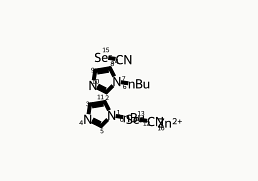 CCCCn1ccnc1.CCCCn1ccnc1.N#C[Se-].N#C[Se-].[Zn+2]